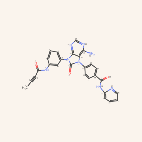 CC#CC(=O)Nc1cccc(-n2c(=O)n(-c3ccc(C(=O)Nc4ccccn4)cc3)c3c(N)ncnc32)c1